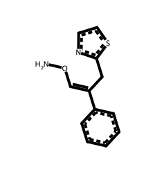 NOC=C(Cc1nccs1)c1ccccc1